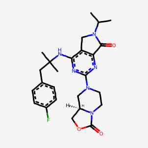 CC(C)N1Cc2c(NC(C)(C)Cc3ccc(F)cc3)nc(N3CCN4C(=O)OC[C@H]4C3)nc2C1=O